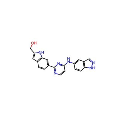 OCc1cc2ccc(-c3nccc(Nc4ccc5[nH]ncc5c4)n3)cc2[nH]1